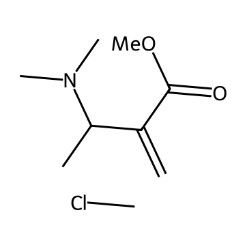 C=C(C(=O)OC)C(C)N(C)C.CCl